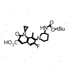 Cc1c(N2CCCC(NC(=O)OC(C)(C)C)C2)c(F)cc2cc(C(=O)O)c(=O)n(C3CC3)c12